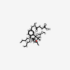 CCC[CH2][Sn]([CH2]CCC)([CH2]CCC)[c]1ccc(CN(C)C(=O)CCC(=O)O)cc1C(OCOC)(C(F)(F)F)C(F)(F)F